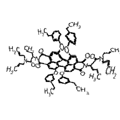 C=CCN(CC=C)C(=O)C(CCC)N1C(=O)c2cc(Oc3cccc(CC)c3)c3c4c(Oc5cccc(CC)c5)cc5c6c(cc(Oc7cccc(CC)c7)c(c7c(Oc8cccc(CC)c8)cc(c2c37)C1=O)c64)C(=O)N(C(CCC)C(=O)N(CC=C)CC=C)C5=O